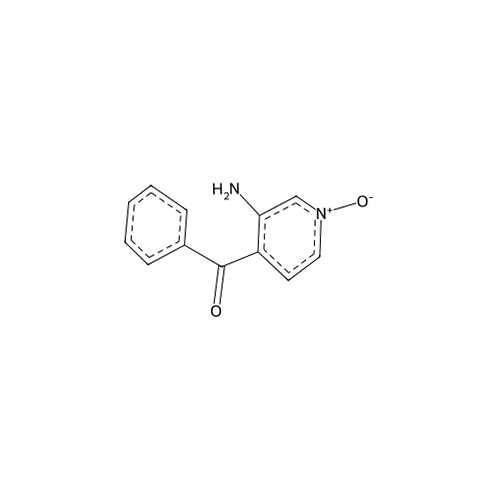 Nc1c[n+]([O-])ccc1C(=O)c1ccccc1